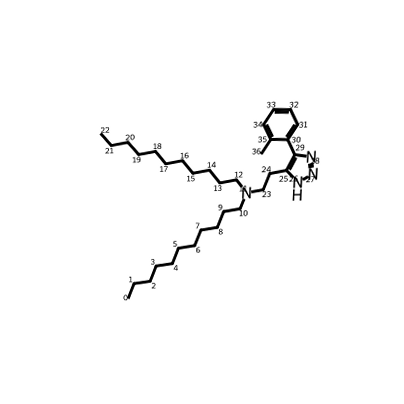 CCCCCCCCCCCN(CCCCCCCCCCC)CCc1[nH]nnc1-c1ccccc1C